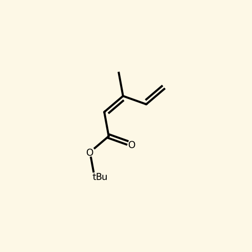 C=CC(C)=CC(=O)OC(C)(C)C